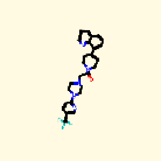 O=C(CN1CCN(c2ccc(C(F)(F)F)cn2)CC1)N1CC=C(c2cccc3cccnc23)CC1